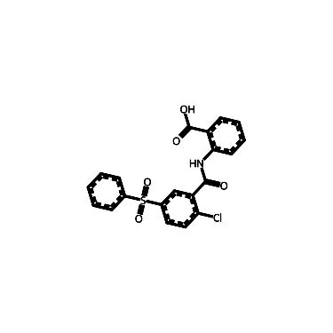 O=C(Nc1ccccc1C(=O)O)c1cc(S(=O)(=O)c2ccccc2)ccc1Cl